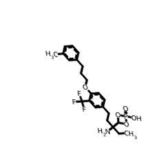 CCC(N)(CCc1ccc(OCCCc2cccc(C)c2)c(C(F)(F)F)c1)C1OP(=O)(O)O1